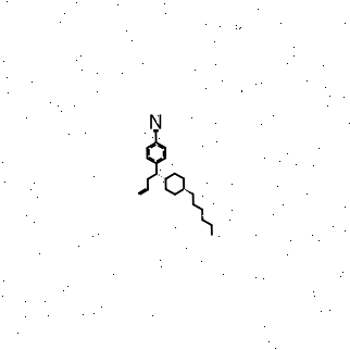 C=CCC(c1ccc(C#N)cc1)[C@H]1CC[C@H](CCCCCC)CC1